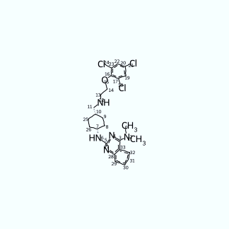 CN(C)c1nc(N[C@H]2CC[C@@H](CNCCOc3c(Cl)cc(Cl)cc3Cl)CC2)nc2ccccc12